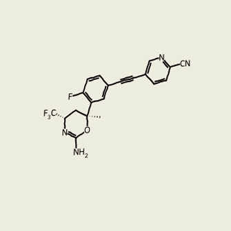 C[C@@]1(c2cc(C#Cc3ccc(C#N)nc3)ccc2F)C[C@@H](C(F)(F)F)N=C(N)O1